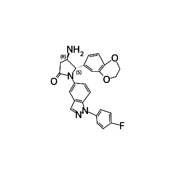 N[C@@H]1CC(=O)N(c2ccc3c(cnn3-c3ccc(F)cc3)c2)[C@H]1c1ccc2c(c1)OCCO2